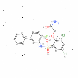 NC(=O)COc1c(Cl)cc(Cl)cc1S(=O)(=O)Nc1cc(-c2ccccc2)ccc1F